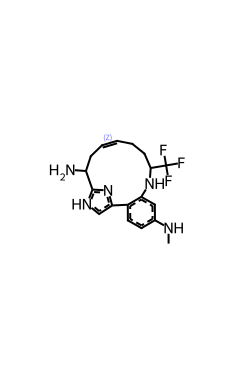 CNc1ccc2c(c1)NC(C(F)(F)F)CC/C=C\CC(N)c1nc-2c[nH]1